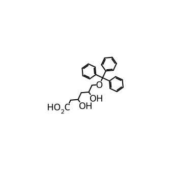 O=C(O)CC(O)CC(O)COC(c1ccccc1)(c1ccccc1)c1ccccc1